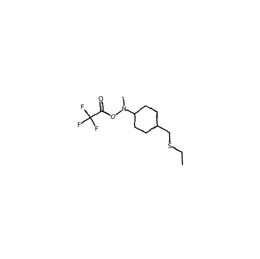 CCSCC1CCC(N(C)OC(=O)C(F)(F)F)CC1